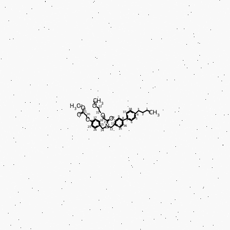 CCCCc1ccc(-c2ccc(CN(Cc3ccc(OCC(=O)OC)cc3)C(=O)COCCOC)cc2)cc1